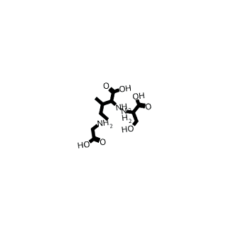 CCC(C)C(N)C(=O)O.NC(CO)C(=O)O.NCC(=O)O